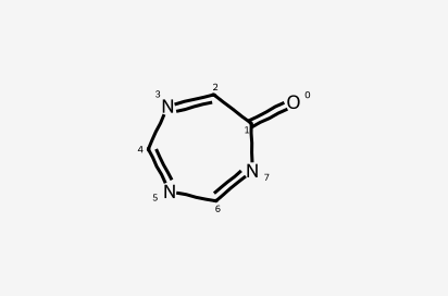 O=c1cncncn1